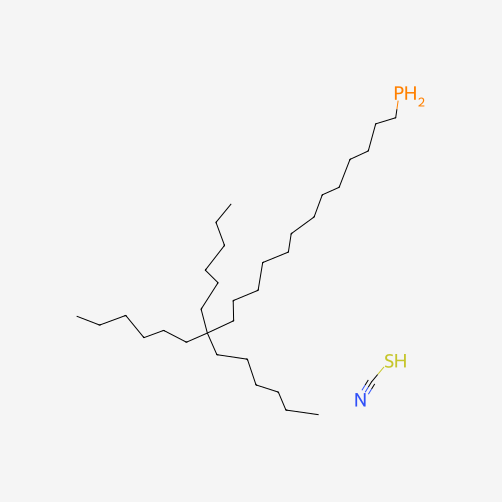 CCCCCCC(CCCCCC)(CCCCCC)CCCCCCCCCCCCCP.N#CS